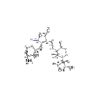 C=C1CCC2[C@](C)(CC[C@@H](O)[C@@]2(C)CO)C1/C=C/C1=CC(=C\c2cnc(N)[nH]c2=O)/OC1=O